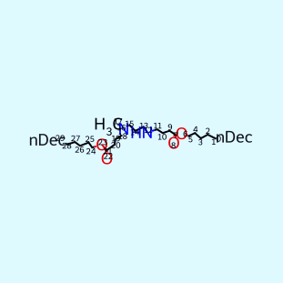 CCCCCCCCCCCCCCCOC(=O)CCCNCCCN(C)CCCC(=O)OCCCCCCCCCCCCCCC